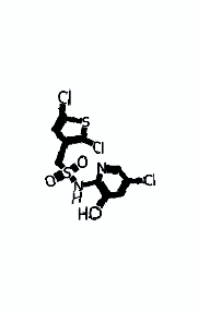 O=S(=O)(Cc1cc(Cl)sc1Cl)Nc1ncc(Cl)cc1O